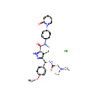 COc1ccc(C(NC(=O)CN(C)C)c2n[nH]c3c2CCN(c2ccc(-n4ccccc4=O)cc2)C3=O)cc1.Cl